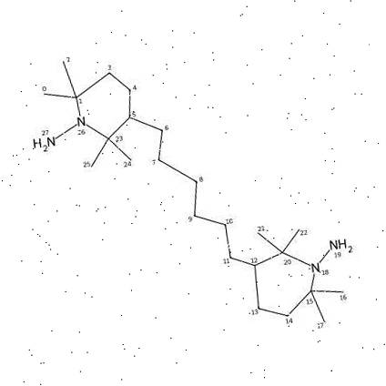 CC1(C)CCC(CCCCCCC2CCC(C)(C)N(N)C2(C)C)C(C)(C)N1N